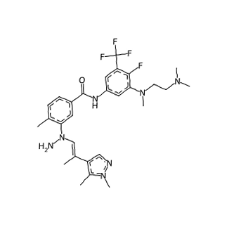 C/C(=C\N(N)c1cc(C(=O)Nc2cc(N(C)CCN(C)C)c(F)c(C(F)(F)F)c2)ccc1C)c1cnn(C)c1C